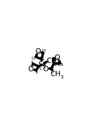 CC(O[Si](C)(C1COC1)C1COC1)C1COC1